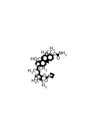 COC(C[C@@H](C)[C@H]1C[C@H](O)C2(C)C3CC[C@H]4C(C)(C)C(OC(N)=O)CCC45CC35CCC12C)C(OC(=O)N1CCC1)C(C)C